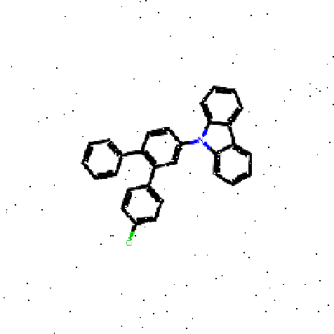 Clc1ccc(-c2cc(-n3c4ccccc4c4ccccc43)ccc2-c2ccccc2)cc1